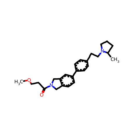 COCCC(=O)N1Cc2ccc(-c3ccc(CCN4CCCC4C)cc3)cc2C1